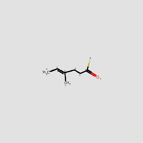 C/C=C(\C)CCC(=O)[S]